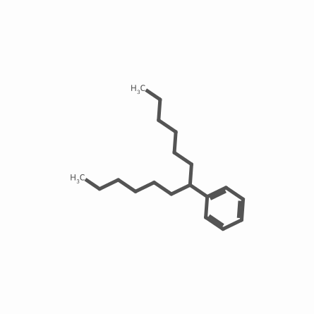 CCCCCCC(CCCCCC)c1ccccc1